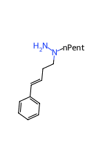 CCCCCN(N)CCC=Cc1ccccc1